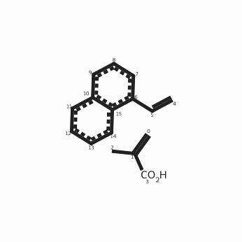 C=C(C)C(=O)O.C=Cc1cccc2ccccc12